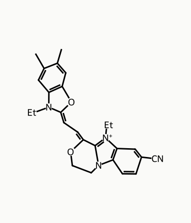 CCN1C(=CC=C2OCCn3c2[n+](CC)c2cc(C#N)ccc23)Oc2cc(C)c(C)cc21